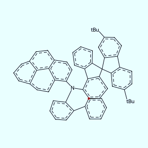 CC(C)(C)c1ccc2c(c1)C1(c3cc(C(C)(C)C)ccc3-2)c2ccccc2-c2c(N(c3ccccc3-c3ccccc3)c3ccc4ccc5cccc6ccc3c4c56)cccc21